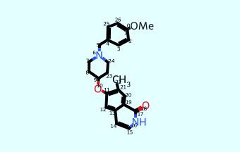 COc1ccc(CN2CCC(Oc3cc4cc[nH]c(=O)c4cc3C)CC2)cc1